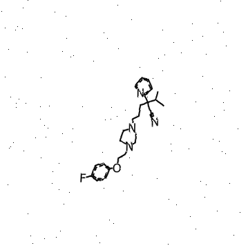 CC(C)C(C#N)(CCCN1CCN(CCOc2ccc(F)cc2)CC1)c1ccccn1